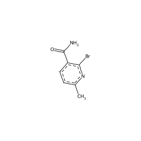 Cc1c[c]c(C(N)=O)c(Br)n1